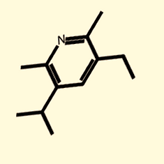 CCc1cc(C(C)C)c(C)nc1C